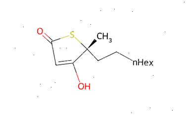 CCCCCCCC[C@@]1(C)SC(=O)C=C1O